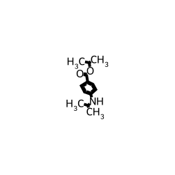 CC(C)Nc1ccc(C(=O)OC(C)C)cc1